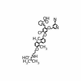 Cc1c(COc2cc(OCc3cncc(C#N)c3)c(CN3CCCC[C@H]3C(=O)O)cc2Cl)cccc1-c1cccc(OCCCN[C@@H](CO)C(C)C)c1C